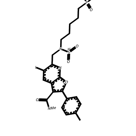 CNC(=O)c1c(-c2ccc(C)cc2)oc2nc(CN(CCCCCP(C)(=O)O)[SH](=O)=O)c(I)cc12